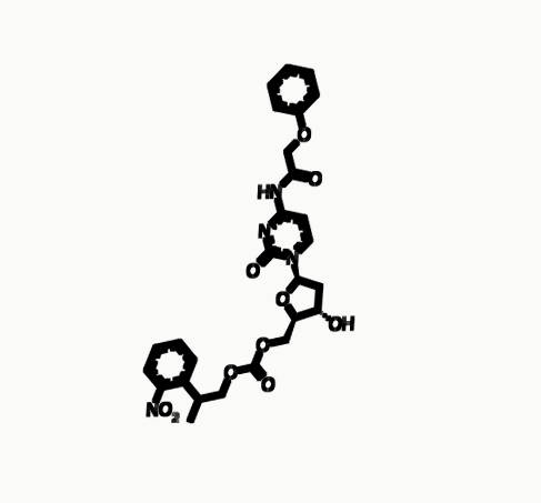 CC(COC(=O)OC[C@H]1O[C@@H](n2ccc(NC(=O)COc3ccccc3)nc2=O)C[C@@H]1O)c1ccccc1[N+](=O)[O-]